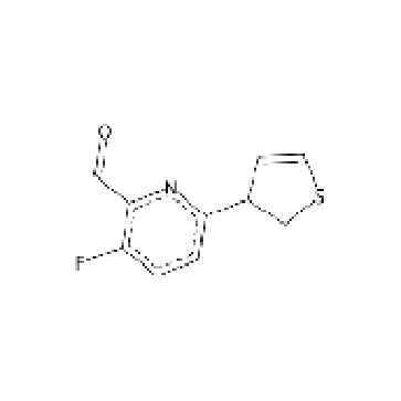 O=Cc1nc(C2C=CSC2)ccc1F